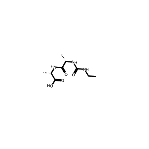 CCNC(=O)N[C@@H](C)C(=O)N[C@@H](C)C(=O)O